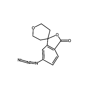 [N-]=[N+]=Nc1ccc2c(c1)C1(CCOCC1)OC2=O